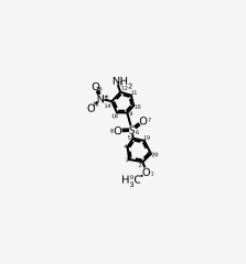 COc1ccc(S(=O)(=O)c2ccc(N)c([N+](=O)[O-])c2)cc1